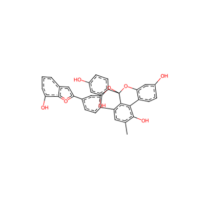 Cc1cc2c3c(c1O)-c1ccc(O)cc1OC3(c1ccc(O)cc1O)Oc1cc(-c3cc4cccc(O)c4o3)ccc1-2